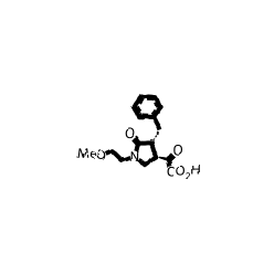 COCCN1C[C@H](C(=O)C(=O)O)[C@@H](Cc2ccccc2)C1=O